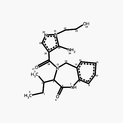 CCC(C)C1C(=O)Nc2ccccc2CN1C(=O)c1cnn(CCO)c1N